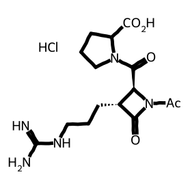 CC(=O)N1C(=O)[C@H](CCCNC(=N)N)[C@H]1C(=O)N1CCCC1C(=O)O.Cl